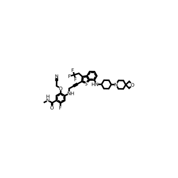 CNC(=O)c1cc(OCC#N)c(NCC#Cc2sc3c(NC4CCC(N5CCC6(CC5)COC6)CC4)cccc3c2CC(F)(F)F)cc1F